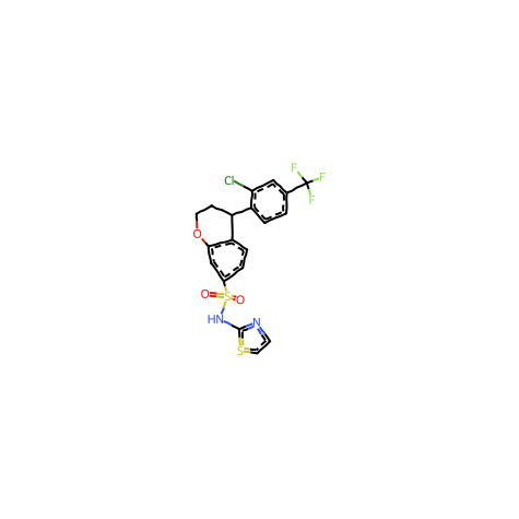 O=S(=O)(Nc1nccs1)c1ccc2c(c1)OCCC2c1ccc(C(F)(F)F)cc1Cl